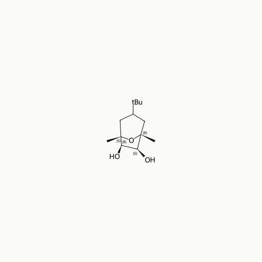 CC(C)(C)C1C[C@@]2(C)O[C@@](C)(C1)[C@H](O)[C@@H]2O